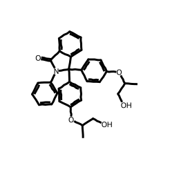 CC(CO)Oc1ccc(C2(c3ccc(OC(C)CO)cc3)c3ccccc3C(=O)N2c2ccccc2)cc1